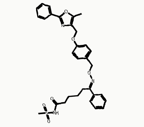 Cc1oc(-c2ccccc2)nc1COc1ccc(CO/N=C(\CCCCC(=O)NS(C)(=O)=O)c2ccccc2)cc1